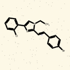 CCn1cc(-c2ccccc2Cl)nc1/C=C/c1ccc(Br)cc1